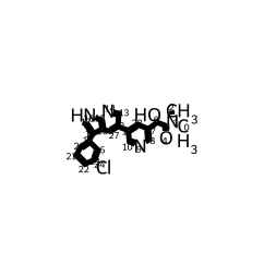 CN(C)C(=O)C(O)c1cncc(-c2cnc3[nH]cc(-c4cccc(Cl)c4)c3c2)c1